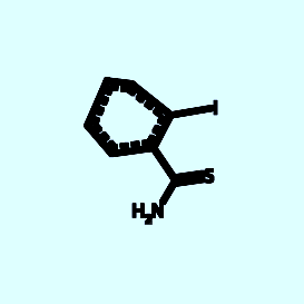 NC(=S)c1ccccc1I